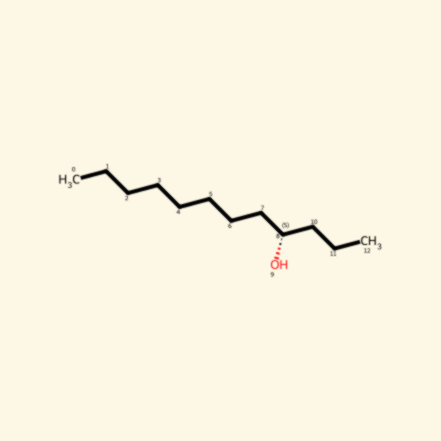 CCCCCCCC[C@@H](O)CCC